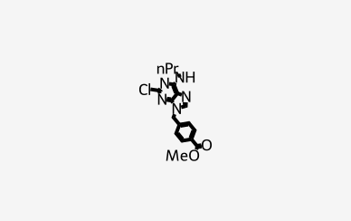 CCCNc1nc(Cl)nc2c1ncn2Cc1ccc(C(=O)OC)cc1